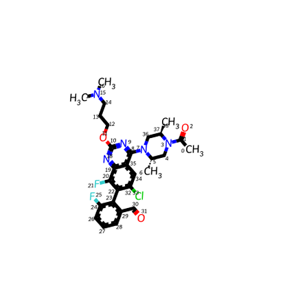 CC(=O)N1C[C@H](C)N(c2nc(OCCCN(C)C)nc3c(F)c(-c4c(F)cccc4C=O)c(Cl)cc23)C[C@H]1C